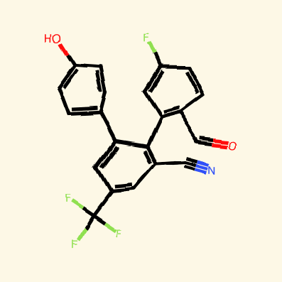 N#Cc1cc(C(F)(F)F)cc(-c2ccc(O)cc2)c1-c1cc(F)ccc1C=O